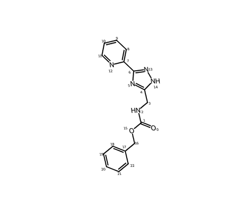 O=C(NCc1nc(-c2ccccn2)n[nH]1)OCc1ccccc1